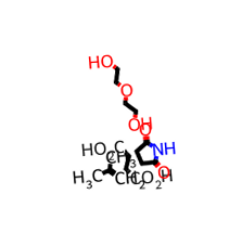 C=C(C)C.O=C(O)CCC(=O)O.O=C1CCC(=O)N1.OCCOCCO